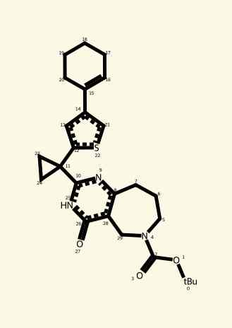 CC(C)(C)OC(=O)N1CCCc2nc(C3(c4cc(C5=CCCCC5)cs4)CC3)[nH]c(=O)c2C1